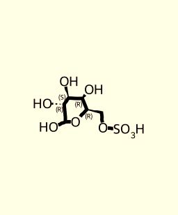 O=S(=O)(O)OC[C@H]1OC(O)[C@H](O)[C@@H](O)[C@H]1O